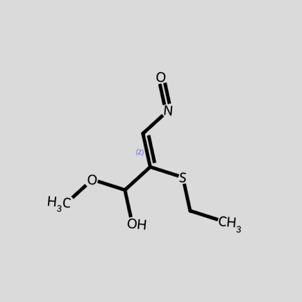 CCS/C(=C\N=O)C(O)OC